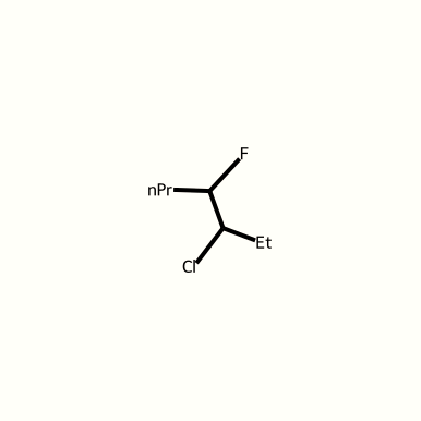 CCCC(F)C(Cl)CC